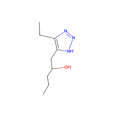 CCCC(O)Cc1[nH]nnc1CC